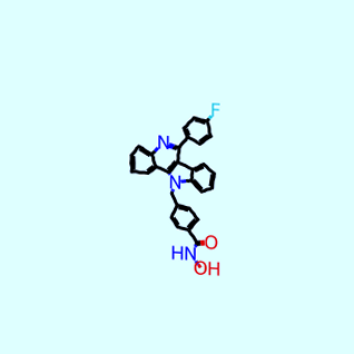 O=C(NO)c1ccc(Cn2c3ccccc3c3c(-c4ccc(F)cc4)nc4ccccc4c32)cc1